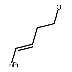 CCCC=CCC[O]